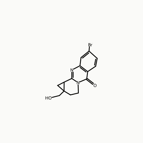 O=c1c2ccc(Br)cc2nc2n1CCC1(CO)CC21